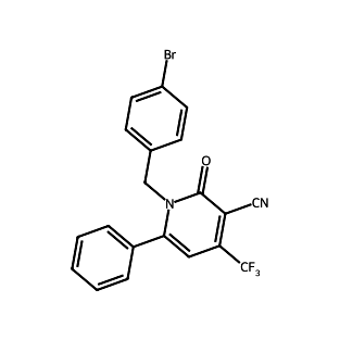 N#Cc1c(C(F)(F)F)cc(-c2ccccc2)n(Cc2ccc(Br)cc2)c1=O